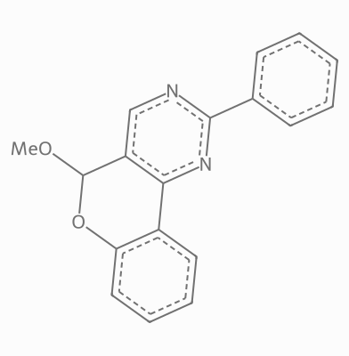 COC1Oc2ccccc2-c2nc(-c3ccccc3)ncc21